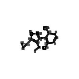 CCc1c(-c2c(Cl)cccc2Cl)noc1C1CC1